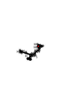 CC(C)(SCC(=O)NCC(=O)NCCNC(=O)c1ccc(-c2c3ccc(=O)cc-3oc3cc(O)ccc23)c(C(=O)O)c1)[C@H](NC(=O)OCC1c2ccccc2-c2ccccc21)C(=O)NCCCCCNC(=O)CCCC[C@@H]1SC[C@@H]2NC(=O)N[C@@H]21